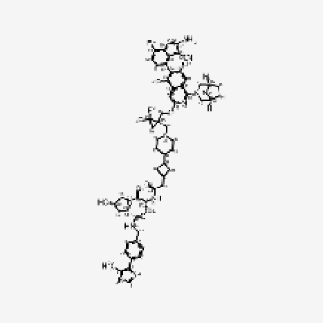 Cc1ncsc1-c1ccc(CNC(=O)[C@@H]2C[C@@H](O)CN2C(=O)[C@@H](NC(=O)CC2CC(C3CCN(C[C@@]4(COc5nc(N6C[C@H]7CC[C@@H](C6)N7)c6cc(Cl)c(-c7ccc(F)c8sc(N)c(C#N)c78)c(F)c6n5)CC4(F)F)CC3)C2)C(C)(C)C)cc1